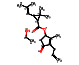 C=CCC1=C(C)C(OC(=O)C2C(C=C(C)C)C2(C)C)CC1=O.CCO